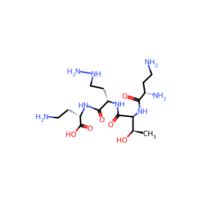 C[C@@H](O)[C@H](NC(=O)[C@@H](N)CCN)C(=O)N[C@@H](CCNN)C(=O)N[C@@H](CCN)C(=O)O